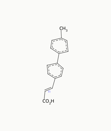 Cc1ccc(-c2ccc(/C=C/C(=O)O)cc2)cc1